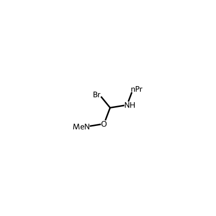 CCCNC(Br)ONC